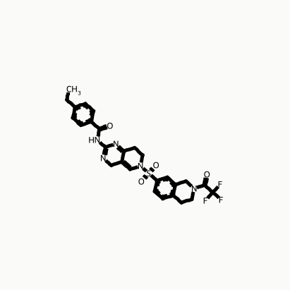 CCc1ccc(C(=O)NC2=NCC3=CN(S(=O)(=O)c4ccc5c(c4)CN(C(=O)C(F)(F)F)CC5)CCC3=N2)cc1